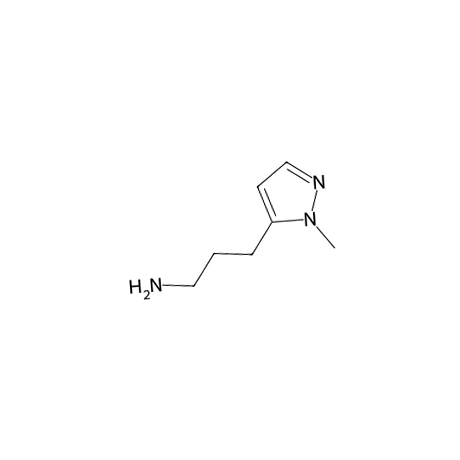 Cn1nccc1CCCN